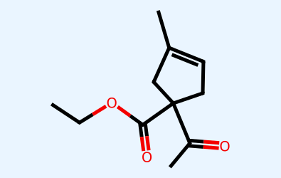 CCOC(=O)C1(C(C)=O)CC=C(C)C1